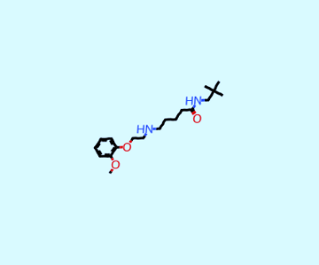 COc1ccccc1OCCNCCCCC(=O)NCC(C)(C)C